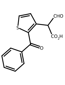 O=CC(C(=O)O)c1ccsc1C(=O)c1ccccc1